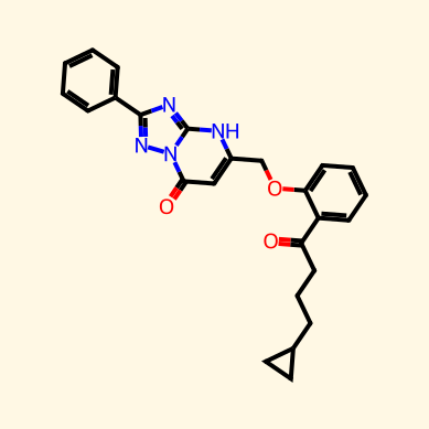 O=C(CCCC1CC1)c1ccccc1OCc1cc(=O)n2nc(-c3ccccc3)nc2[nH]1